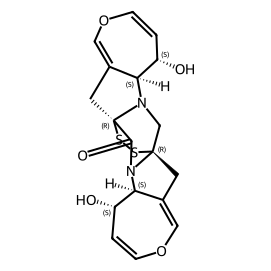 O=C1N2[C@H]3C(=COC=C[C@@H]3O)C[C@@]23CN2[C@H]4C(=COC=C[C@@H]4O)C[C@@]12SS3